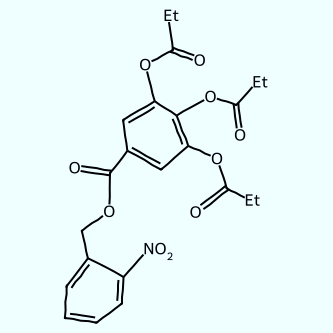 CCC(=O)Oc1cc(C(=O)OCc2ccccc2[N+](=O)[O-])cc(OC(=O)CC)c1OC(=O)CC